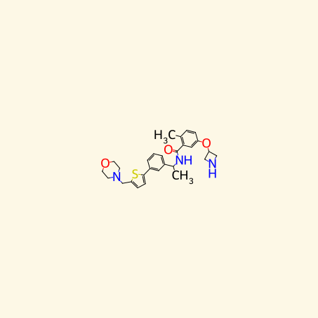 Cc1ccc(OC2CNC2)cc1C(=O)NC(C)c1cccc(-c2ccc(CN3CCOCC3)s2)c1